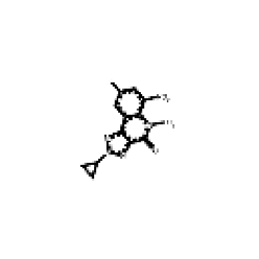 Cn1c(=O)c2nn(C3CC3)nc2c2cc(F)cc([N+](=O)[O-])c21